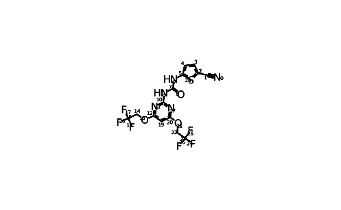 N#Cc1ccc(NC(=O)Nc2nc(OCC(F)(F)F)cc(OCC(F)(F)F)n2)s1